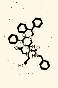 C#CCN1CC(=O)N2[C@@H](c3ccccc3)C(=O)N(CC(c3ccccc3)c3ccccc3)C[C@@H]2N1C(=O)NCc1ccccc1